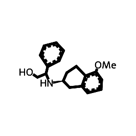 COc1cccc2c1CC[C@H](NC(CO)c1ccccc1)C2